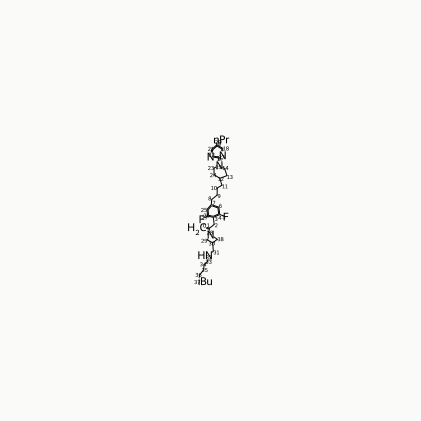 C=C(Cc1c(F)cc(CCCCC2CCN(c3ncc(CCC)cn3)CC2)cc1F)N1CC(CNCCCCC(C)CC)C1